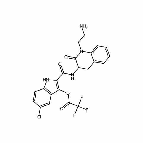 NCCN1C(=O)C(NC(=O)c2[nH]c3ccc(Cl)cc3c2OC(=O)C(F)(F)F)Cc2ccccc21